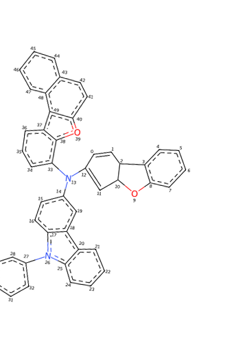 C1=CC2c3ccccc3OC2C=C1N(c1ccc2c(c1)c1ccccc1n2-c1ccccc1)c1cccc2c1oc1ccc3ccccc3c12